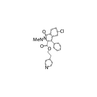 CNn1c(C(=O)OCCc2ccncc2)c(-c2ccccc2)c2cc(Cl)ccc2c1=O